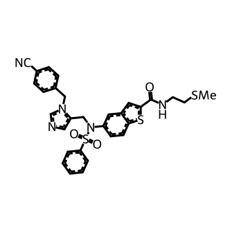 CSCCNC(=O)c1cc2cc(N(Cc3cncn3Cc3ccc(C#N)cc3)S(=O)(=O)c3ccccc3)ccc2s1